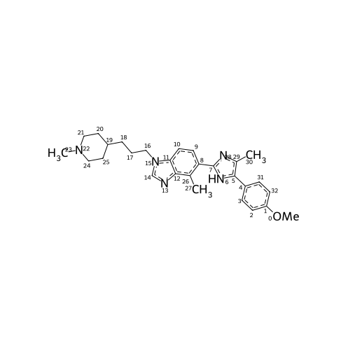 COc1ccc(-c2[nH]c(-c3ccc4c(ncn4CCCC4CCN(C)CC4)c3C)nc2C)cc1